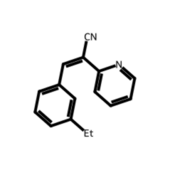 [CH2]Cc1cccc(C=C(C#N)c2ccccn2)c1